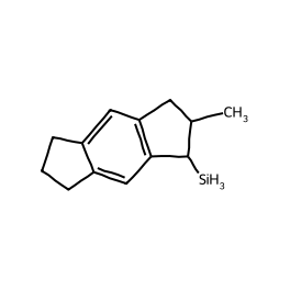 CC1Cc2cc3c(cc2C1[SiH3])CCC3